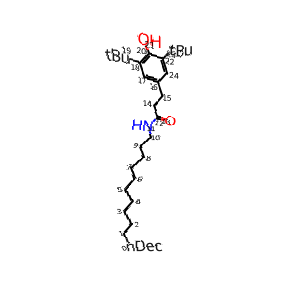 CCCCCCCCCCCCCCCCCCCCNC(=O)CCc1cc(C(C)(C)C)c(O)c(C(C)(C)C)c1